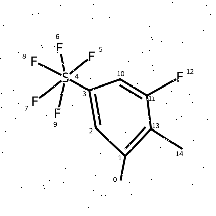 Cc1cc(S(F)(F)(F)(F)F)cc(F)c1C